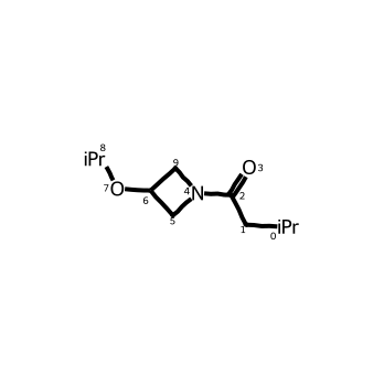 CC(C)CC(=O)N1CC(OC(C)C)C1